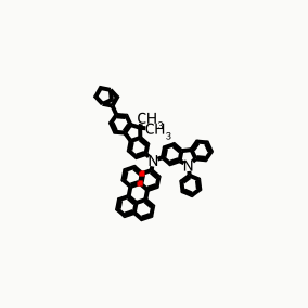 CC1(C)c2cc(C3CC4CCC3C4)ccc2-c2ccc(N(c3ccc(-c4cccc5cccc(-c6ccccc6)c45)cc3)c3ccc4c5ccccc5n(-c5ccccc5)c4c3)cc21